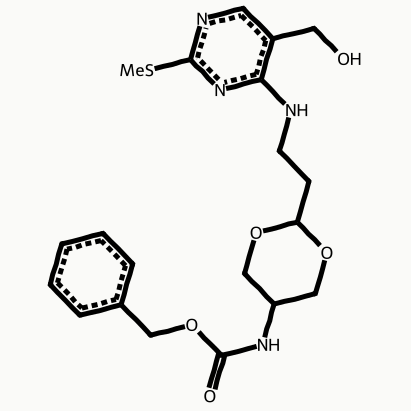 CSc1ncc(CO)c(NCCC2OCC(NC(=O)OCc3ccccc3)CO2)n1